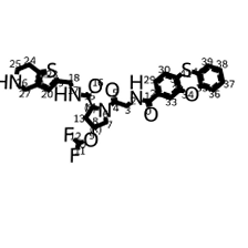 O=C(NCC(=O)N1C[C@H](OC(F)F)C[C@H]1C(=O)NCc1cc2c(s1)CCNC2)c1ccc2c(c1)Oc1ccccc1S2